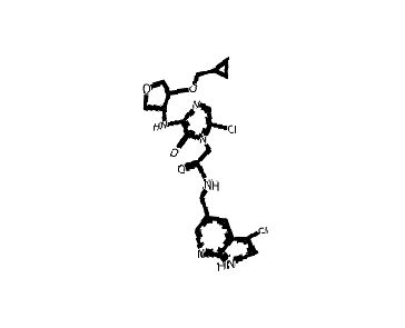 O=C(Cn1c(Cl)cnc(NC2COCC2OCC2CC2)c1=O)NCc1cnc2[nH]cc(Cl)c2c1